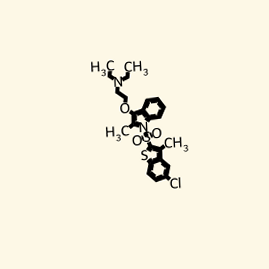 CCN(CC)CCOc1c(C)n(S(=O)(=O)c2sc3ccc(Cl)cc3c2C)c2ccccc12